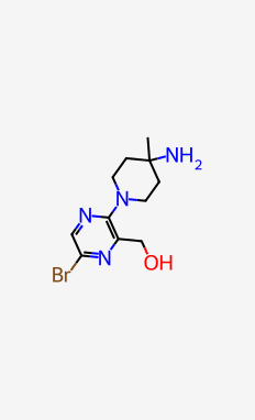 CC1(N)CCN(c2ncc(Br)nc2CO)CC1